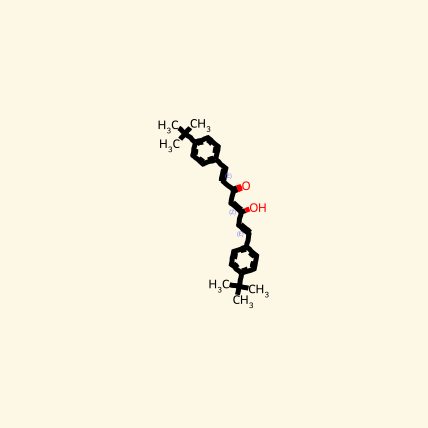 CC(C)(C)c1ccc(/C=C/C(=O)/C=C(O)/C=C/c2ccc(C(C)(C)C)cc2)cc1